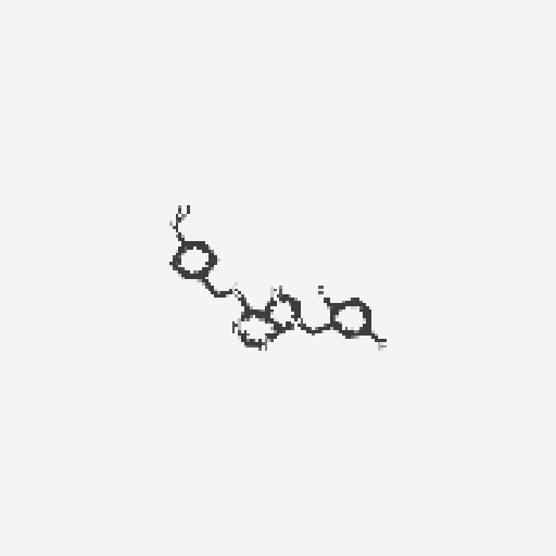 O=Nc1ccc(CSc2ncnc3c2ncn3Cc2cc(F)ccc2F)cc1